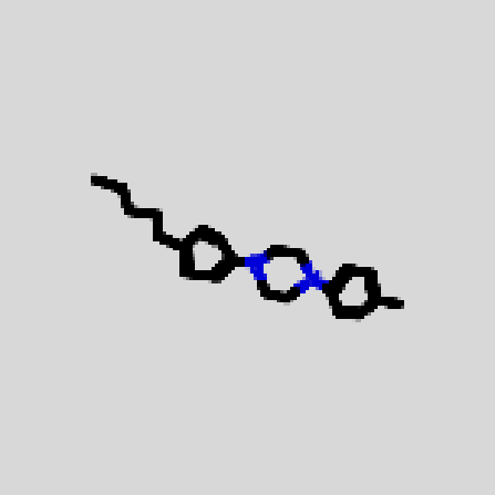 CCCCCc1ccc(N2CCN(c3ccc(C)cc3)CC2)cc1